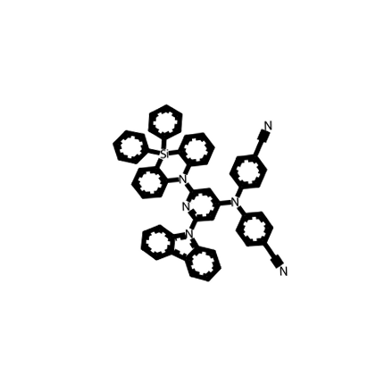 N#Cc1ccc(N(c2ccc(C#N)cc2)c2cc(N3c4ccccc4[Si](c4ccccc4)(c4ccccc4)c4ccccc43)nc(-n3c4ccccc4c4ccccc43)c2)cc1